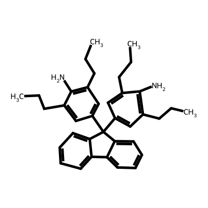 CCCc1cc(C2(c3cc(CCC)c(N)c(CCC)c3)c3ccccc3-c3ccccc32)cc(CCC)c1N